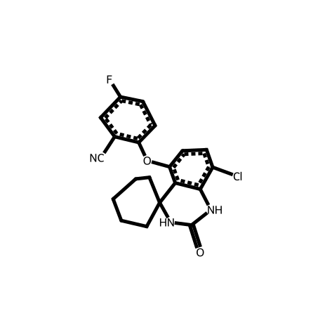 N#Cc1cc(F)ccc1Oc1ccc(Cl)c2c1C1(CCCCC1)NC(=O)N2